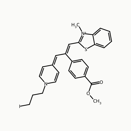 COC(=O)c1ccc(/C(C=C2C=CN(CCCI)C=C2)=C\c2sc3ccccc3[n+]2C)cc1